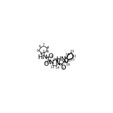 O=C(NC1CCCCCC1)C(=O)N1CCN(C(=O)c2cc3ccccc3[nH]2)CC1